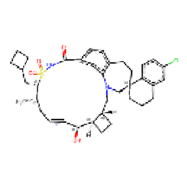 C[C@H]1C/C=C/[C@H](O)[C@@H]2CC[C@H]2CN2C[C@@]3(CCCc4cc(Cl)ccc43)CCc3ccc(cc32)C(=O)NS(=O)(=O)[C@H]1CC1CCC1